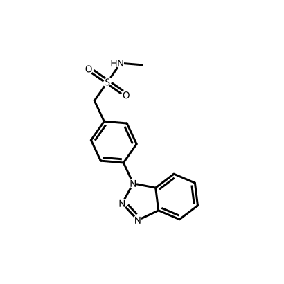 CNS(=O)(=O)Cc1ccc(-n2nnc3ccccc32)cc1